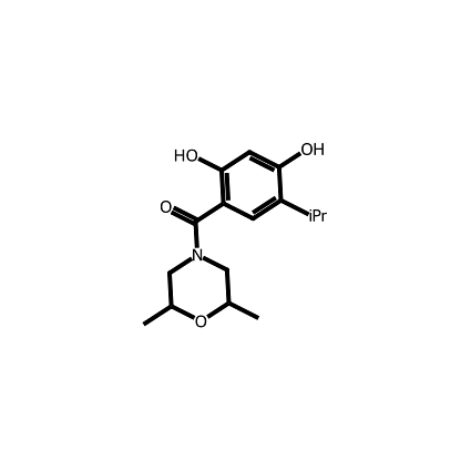 CC1CN(C(=O)c2cc(C(C)C)c(O)cc2O)CC(C)O1